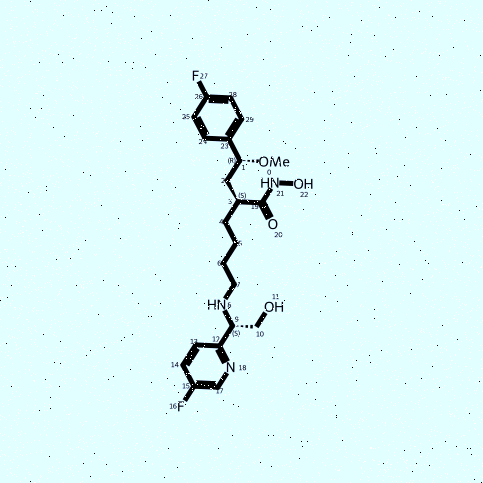 CO[C@H](C[C@H](CCCCN[C@H](CO)c1ccc(F)cn1)C(=O)NO)c1ccc(F)cc1